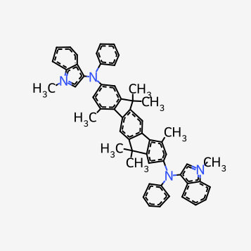 Cc1cc(N(c2ccccc2)c2cn(C)c3ccccc23)cc2c1-c1cc3c(cc1C2(C)C)-c1c(C)cc(N(c2ccccc2)c2cn(C)c4ccccc24)cc1C3(C)C